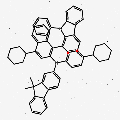 CC1(C)c2ccccc2-c2ccc(N(c3ccc(C4CCCCC4)cc3)c3cc(C4CCCCC4)c4ccccc4c3-c3cccc4c5ccccc5n(-c5ccccc5)c34)cc21